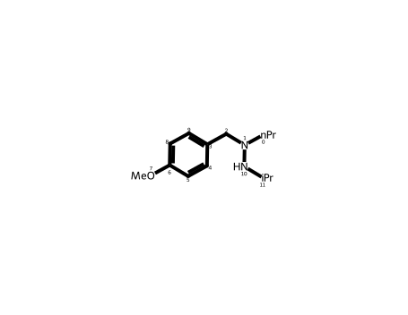 CCCN(Cc1ccc(OC)cc1)NC(C)C